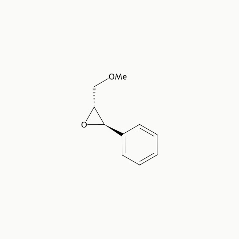 COC[C@H]1O[C@@H]1c1ccccc1